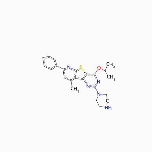 Cc1cc(-c2ccccc2)nc2sc3c(OC(C)C)nc(N4CCNCC4)nc3c12